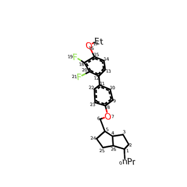 CCCC1CCC2C(COc3ccc(-c4ccc(OCC)c(F)c4F)cc3)CCC12